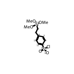 CO[Si](CCc1ccc(S(=O)(=O)Cl)cc1)(OC)OC